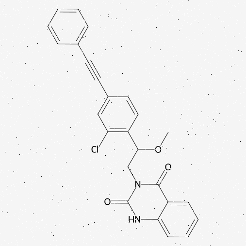 COC(Cn1c(=O)[nH]c2ccccc2c1=O)c1ccc(C#Cc2ccccc2)cc1Cl